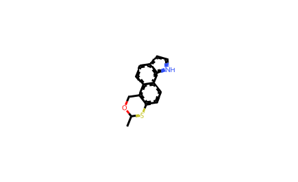 CC1OCc2c(ccc3c2ccc2cc[nH]c23)S1